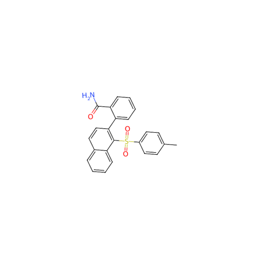 Cc1ccc(S(=O)(=O)c2c(-c3ccccc3C(N)=O)ccc3ccccc23)cc1